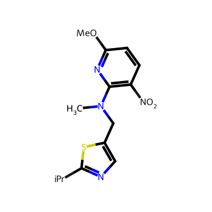 COc1ccc([N+](=O)[O-])c(N(C)Cc2cnc(C(C)C)s2)n1